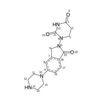 O=C1CCN(N2Cc3cc(N4CCNCC4)ccc3C2=O)C(=O)N1